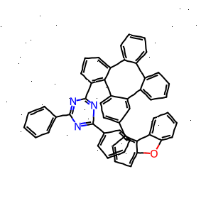 c1ccc(-c2nc(-c3ccccc3)nc(-c3cccc4c3-c3ccc(-c5cccc6oc7ccccc7c56)cc3-c3ccccc3-c3ccccc3-4)n2)cc1